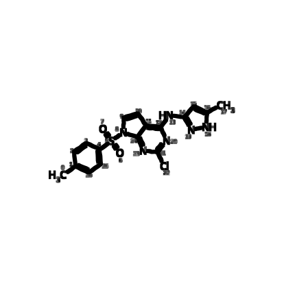 Cc1ccc(S(=O)(=O)n2ccc3c(Nc4cc(C)[nH]n4)nc(Cl)nc32)cc1